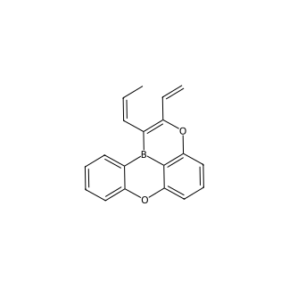 C=CC1=C(/C=C\C)B2c3ccccc3Oc3cccc(c32)O1